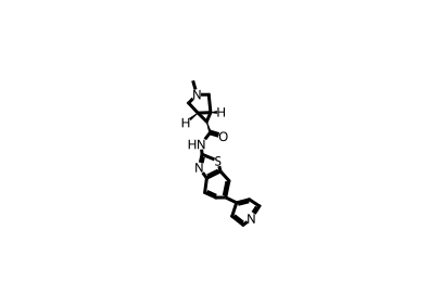 CN1C[C@@H]2[C@H](C1)[C@H]2C(=O)Nc1nc2ccc(-c3ccncc3)cc2s1